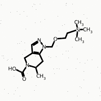 CC1Cc2c(cnn2COCC[Si](C)(C)C)CN1C(=O)O